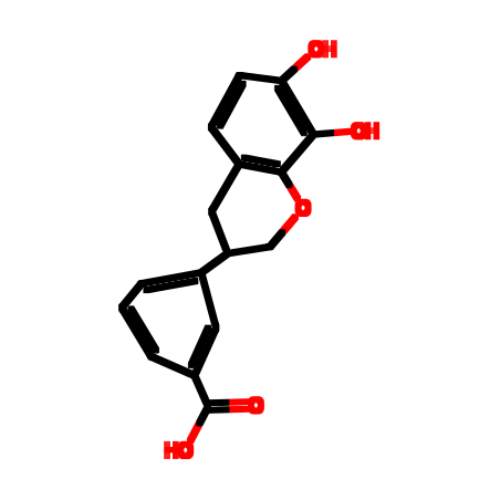 O=C(O)c1cccc(C2COc3c(ccc(O)c3O)C2)c1